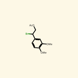 COc1ccc(C(Br)COC(C)=O)cc1OC